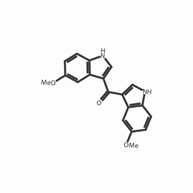 COc1ccc2[nH]cc(C(=O)c3c[nH]c4ccc(OC)cc34)c2c1